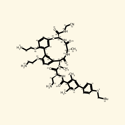 Cc1cc(-c2ccc(OCC(C)(C)C)cc2)nc(C)c1C(=O)N[C@@H](CCN)C(=O)N(C)[C@@H]1C(=O)N[C@@H](C)C(=O)N[C@H](C(=O)NCC#N)Cc2ccc(OCCN)c(c2)-c2cc1ccc2OCCN